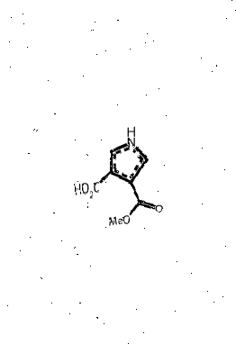 COC(=O)c1c[nH]cc1C(=O)O